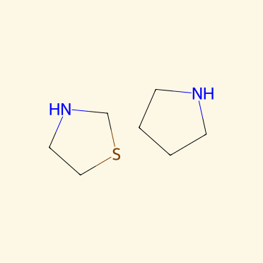 C1CCNC1.C1CSCN1